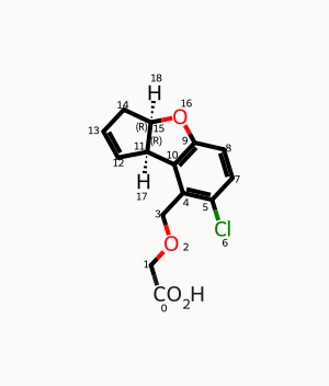 O=C(O)COCc1c(Cl)ccc2c1[C@H]1C=CC[C@H]1O2